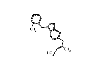 CC(=CC(=O)O)Cc1ccc2c(ccn2Cc2ccccc2C)c1